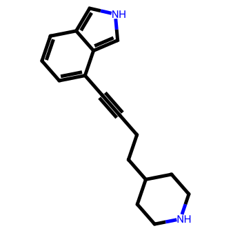 C(#Cc1cccc2c[nH]cc12)CCC1CCNCC1